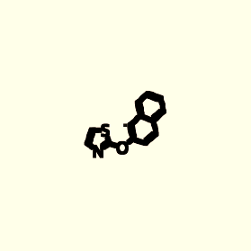 [c]1c(Oc2nccs2)ccc2ccccc12